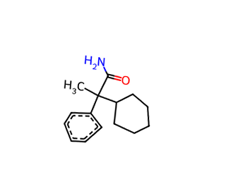 CC(C(N)=O)(c1ccccc1)C1CCCCC1